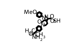 COc1ccc(-n2nc(C(=O)OS)c3c2C(=O)N(c2ccc(C(C)(C)C(N)=O)cc2)CC3)cc1